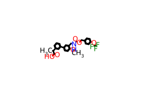 COc1ccc(-c2cccc(C(C)C(=O)O)c2)cc1CNC(=O)OCc1ccc(OC(F)(F)F)cc1